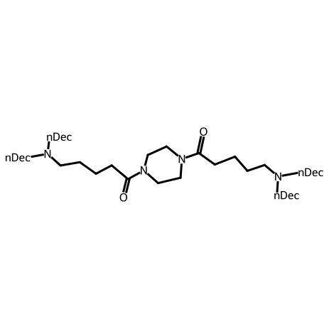 CCCCCCCCCCN(CCCCCCCCCC)CCCCC(=O)N1CCN(C(=O)CCCCN(CCCCCCCCCC)CCCCCCCCCC)CC1